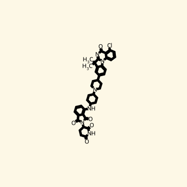 CC1(C)c2cc(C3CCN(C4CCC(Nc5cccc6c5C(=O)N(C5CCC(=O)NC5=O)C6=O)CC4)CC3)ccc2-n2c1nc(=O)c1c(Cl)cccc12